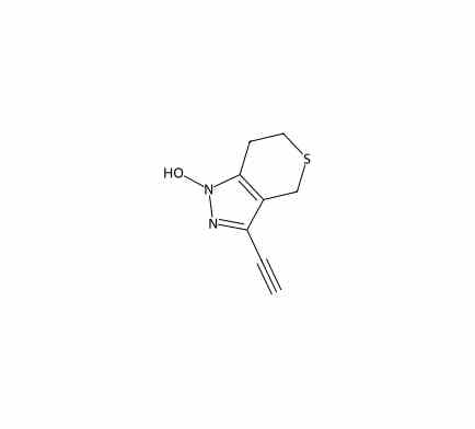 C#Cc1nn(O)c2c1CSCC2